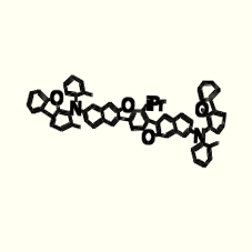 Cc1ccccc1N(c1ccc2cc3c(cc2c1)oc1cc2c(oc4cc5cc(N(c6ccccc6C)c6c(C)ccc7c6oc6ccccc67)ccc5cc42)c(C(C)C)c13)c1cccc2c1oc1ccccc12